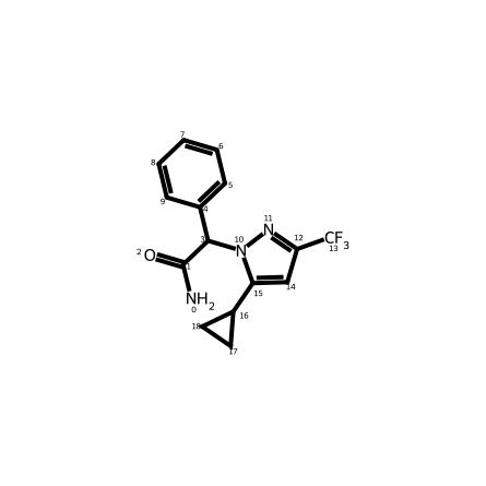 NC(=O)C(c1ccccc1)n1nc(C(F)(F)F)cc1C1CC1